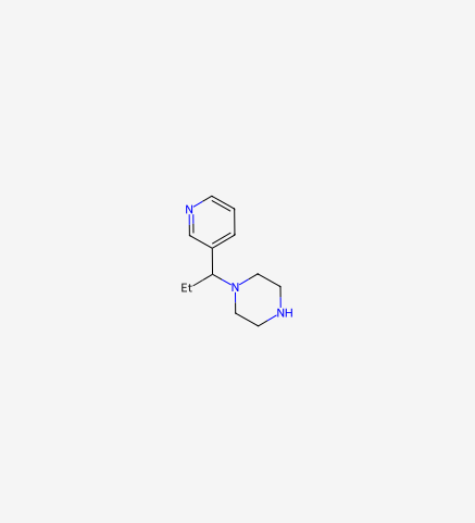 CCC(c1cccnc1)N1CCNCC1